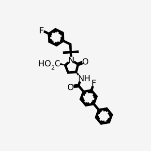 CC(C)(Cc1ccc(F)cc1)N1C(=O)[C@@H](NC(=O)c2ccc(-c3ccccc3)cc2F)C[C@H]1C(=O)O